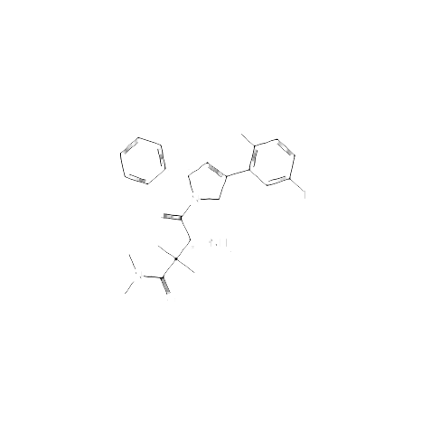 CN(C)C(=O)C(C)(C)[C@@H](N)C(=O)N1CC(c2cc(F)ccc2F)=C[C@H]1c1ccccc1